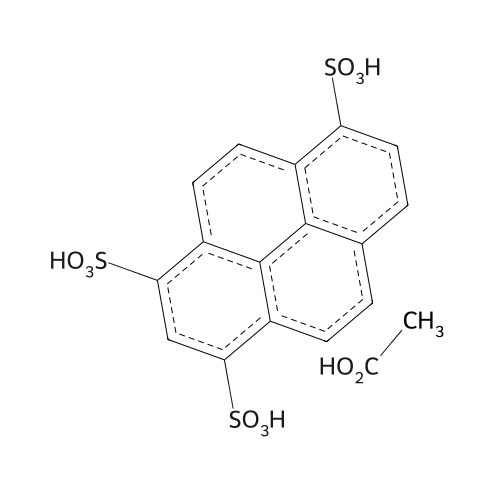 CC(=O)O.O=S(=O)(O)c1ccc2ccc3c(S(=O)(=O)O)cc(S(=O)(=O)O)c4ccc1c2c34